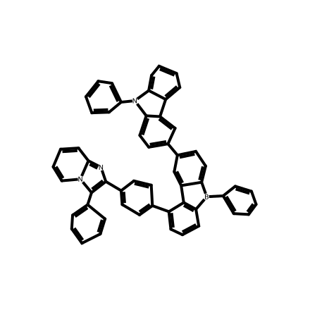 c1ccc(B2c3ccc(-c4ccc5c(c4)c4ccccc4n5-c4ccccc4)cc3-c3c2cccc3-c2ccc(-c3nc4ccccn4c3-c3ccccc3)cc2)cc1